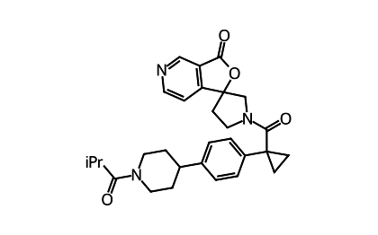 CC(C)C(=O)N1CCC(c2ccc(C3(C(=O)N4CCC5(C4)OC(=O)c4cnccc45)CC3)cc2)CC1